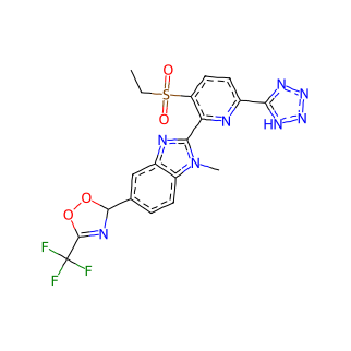 CCS(=O)(=O)c1ccc(-c2nnn[nH]2)nc1-c1nc2cc(C3N=C(C(F)(F)F)OO3)ccc2n1C